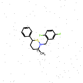 C[C@H]1CCC(c2ccccc2)SN1Cc1cc(F)ccc1F